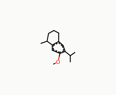 COc1cc2c(cc1C(C)C)CCCC2C